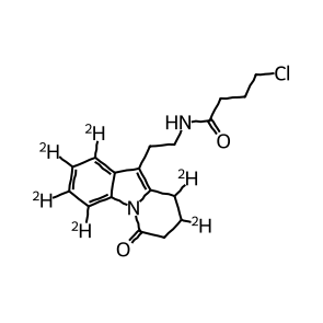 [2H]c1c([2H])c([2H])c2c(c1[2H])c(CCNC(=O)CCCCl)c1n2C(=O)CC([2H])C1[2H]